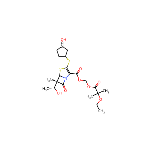 CCOC(C)(C)C(=O)OCOC(=O)C1=C(S[C@H]2CC[Si@@H](O)C2)SC2N1C(=O)[C@]2(C)[C@@H](C)O